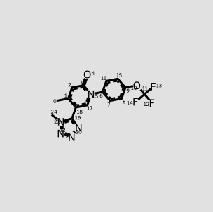 Cc1cc(=O)n(-c2ccc(OC(F)(F)F)cc2)cc1-c1nnnn1C